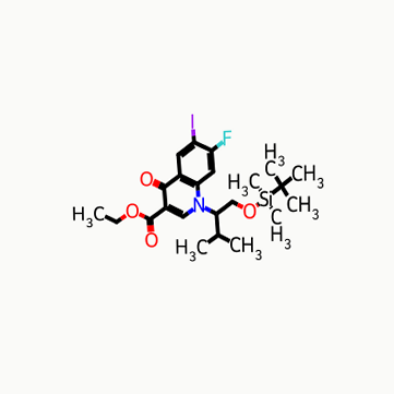 CCOC(=O)c1cn(C(CO[Si](C)(C)C(C)(C)C)C(C)C)c2cc(F)c(I)cc2c1=O